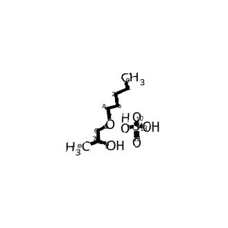 CCCCCOCC(C)O.O=S(=O)(O)O